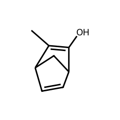 CC1=C(O)C2C=CC1C2